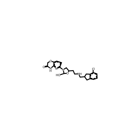 O=C1COc2ccc(N3CC(CCNCC4Cc5cccc(Cl)c5C4)OC3O)nc2N1